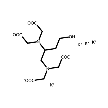 O=C([O-])CN(CC(=O)[O-])CC(CCO)N(CC(=O)[O-])CC(=O)[O-].[K+].[K+].[K+].[K+]